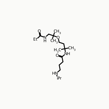 CCC(=O)NCC(C)(C)OCCC(C)(C)NC(=O)CCCNC(C)C